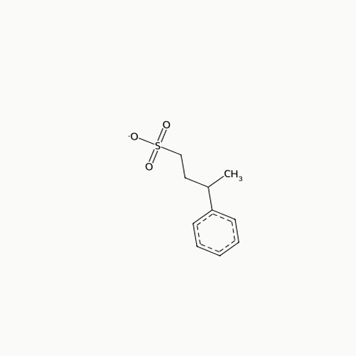 CC(CCS([O])(=O)=O)c1ccccc1